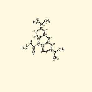 CNC(=O)N1c2ccc(N(C)C)cc2Sc2cc(N(C)C)ccc21